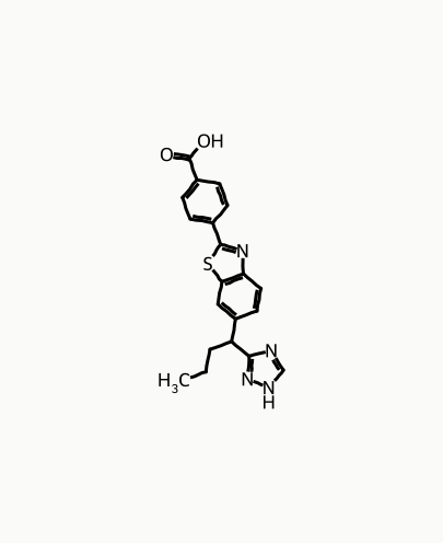 CCCC(c1ccc2nc(-c3ccc(C(=O)O)cc3)sc2c1)c1nc[nH]n1